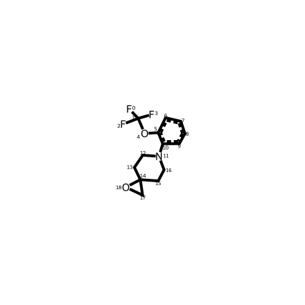 FC(F)(F)Oc1ccccc1N1CCC2(CC1)CO2